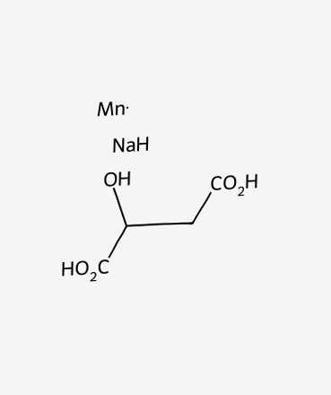 O=C(O)CC(O)C(=O)O.[Mn].[NaH]